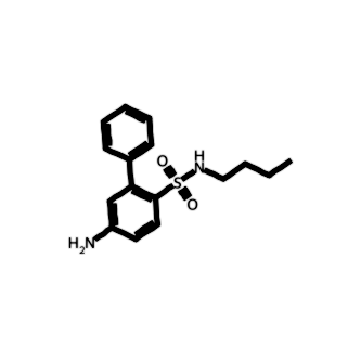 CCCCNS(=O)(=O)c1ccc(N)cc1-c1ccccc1